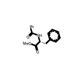 COC(=O)[C@@H](Cc1ccccc1)NC(=O)C(C)C